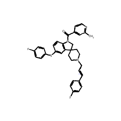 Cc1cc(C(=O)N2CC3(CCN(C/C=C/c4ccc(F)cc4)CC3)c3cc(Sc4ccc(F)cc4)ccc32)ccn1